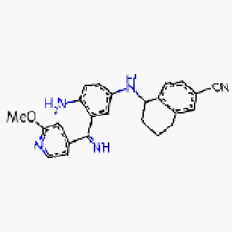 COc1cc(C(=N)c2cc(N[C@@H]3CCCc4cc(C#N)ccc43)ccc2N)ccn1